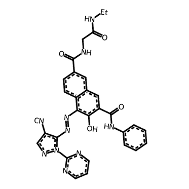 [C-]#[N+]c1cnn(-c2ncccn2)c1/N=N/c1c(O)c(C(=O)Nc2ccccc2)cc2cc(C(=O)NCC(=O)NCC)ccc12